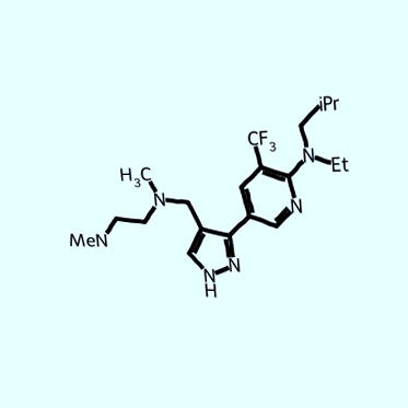 CCN(CC(C)C)c1ncc(-c2n[nH]cc2CN(C)CCNC)cc1C(F)(F)F